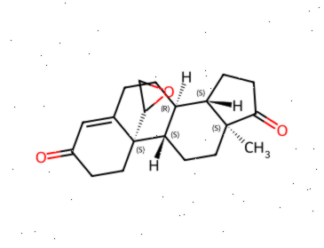 C[C@]12CC[C@H]3[C@@H](CCC4=CC(=O)CC[C@@]43C3CO3)[C@@H]1CCC2=O